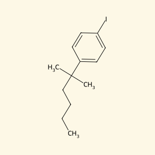 CCCCC(C)(C)c1ccc(I)cc1